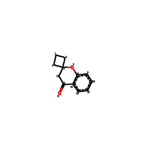 O=C1CC2(CCC2)Oc2ccccc21